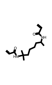 C=CC(=O)NC(C)CCCCC(C)(C)NC(=O)C=C